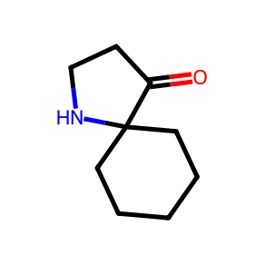 O=C1CCNC12CCCCC2